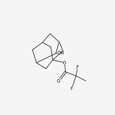 CC(F)(F)C(=O)OC12CC3CC(C1)C(O)C(C3)C2